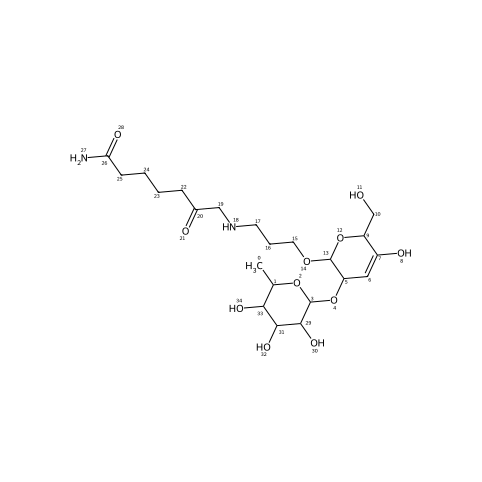 CC1OC(OC2C=C(O)C(CO)OC2OCCCNCC(=O)CCCCC(N)=O)C(O)C(O)C1O